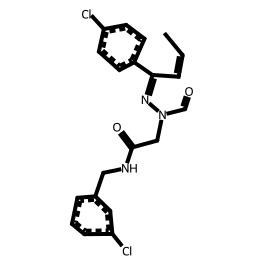 C/C=C\C(=N/N(C=O)CC(=O)NCc1cccc(Cl)c1)c1ccc(Cl)cc1